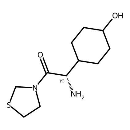 N[C@H](C(=O)N1CCSC1)C1CCC(O)CC1